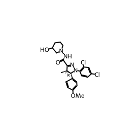 COc1ccc([C@H]2[C@@H](C)C(C(=O)NN3CCCC(O)C3)=NN2c2ccc(Cl)cc2Cl)cc1